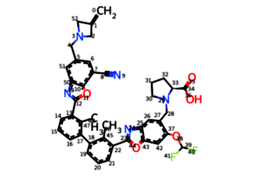 C=C1CN(Cc2cc(C#N)c3oc(-c4cccc(-c5cccc(-c6nc7cc(CN8CCC[C@H]8C(=O)O)c(OC(F)F)cc7o6)c5C)c4C)nc3c2)C1